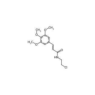 COc1cc(C=CC(=O)NCCCl)cc(OC)c1OC